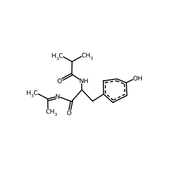 CC(C)=NC(=O)C(Cc1ccc(O)cc1)NC(=O)C(C)C